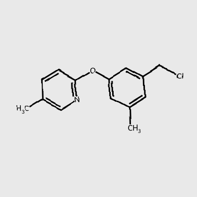 Cc1ccc(Oc2cc(C)cc(CCl)c2)nc1